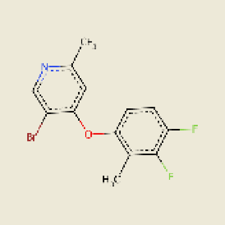 Cc1c(Oc2cc(C(F)(F)F)ncc2Br)ccc(F)c1F